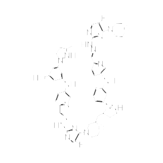 CC1CCN(c2cc(O)cc(Nc3ccc(/C=N/Nc4ncc(F)c(N5CCOC(CC6CCNN6c6cccc(Nc7ccc(/C=N/Nc8ncc(F)c(N9CCOCC9)n8)nc7)c6)C5)n4)nc3)c2)N1